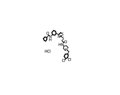 Cl.O=C(CSc1nc(-c2cccc(NC(=O)c3ccccc3)c2)cs1)NC1CCN(Cc2ccc(Cl)c(Cl)c2)CC1